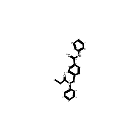 CCC(=O)N(Cc1ccc(C(=O)Nc2ccccc2)cc1)c1ccccc1